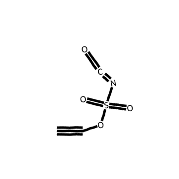 C#COS(=O)(=O)N=C=O